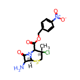 C[C@@]1(Cl)CS[C@H]2C(N)C(=O)N2C1C(=O)OCc1ccc([N+](=O)[O-])cc1